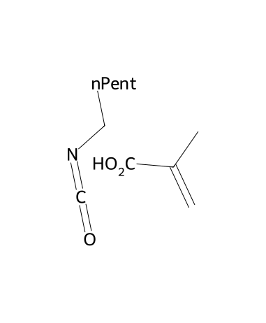 C=C(C)C(=O)O.CCCCCCN=C=O